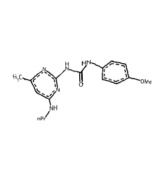 CCCNc1cc(C)nc(NC(=O)Nc2ccc(OC)cc2)n1